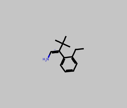 CCc1ccccc1/C(=C\N)C(C)(C)C